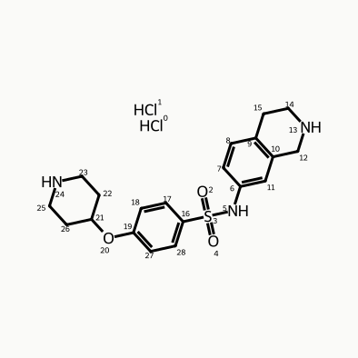 Cl.Cl.O=S(=O)(Nc1ccc2c(c1)CNCC2)c1ccc(OC2CCNCC2)cc1